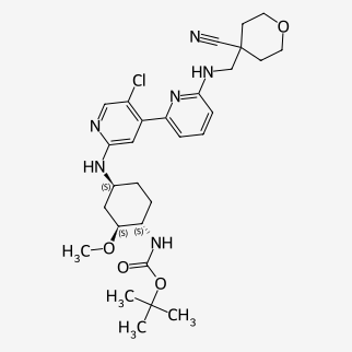 CO[C@H]1C[C@@H](Nc2cc(-c3cccc(NCC4(C#N)CCOCC4)n3)c(Cl)cn2)CC[C@@H]1NC(=O)OC(C)(C)C